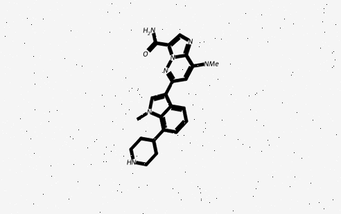 CNc1cc(-c2cn(C)c3c(C4CCNCC4)cccc23)nn2c(C(N)=O)cnc12